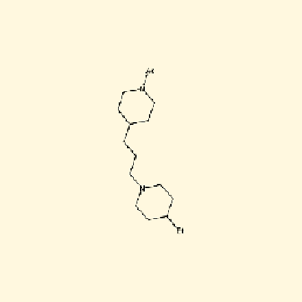 CCC1CCN(CCCC2CCN(C(C)=O)CC2)CC1